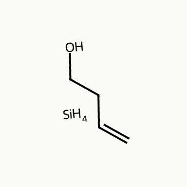 C=CCCO.[SiH4]